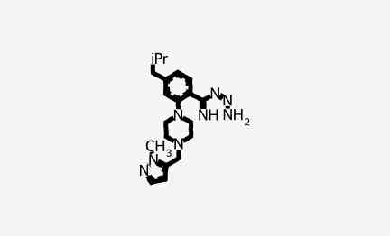 CC(C)Cc1ccc(C(=N)/N=N\N)c(N2CCN(Cc3ccnn3C)CC2)c1